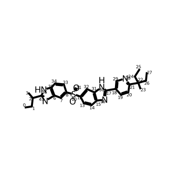 CCC(C)c1nc2cc(S(=O)(=O)c3ccc4nc(-c5ccc(C(C)(CC)CC)nc5)[nH]c4c3)ccc2[nH]1